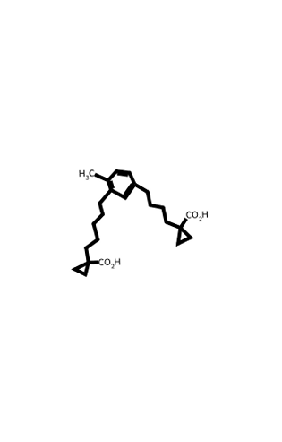 Cc1ccc(CCCCC2(C(=O)O)CC2)cc1CCCCCC1(C(=O)O)CC1